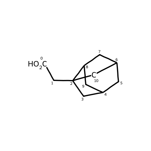 O=C(O)CC12CC3CC(CC1C3)C2